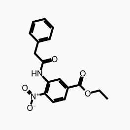 CCOC(=O)c1ccc([N+](=O)[O-])c(NC(=O)Cc2ccccc2)c1